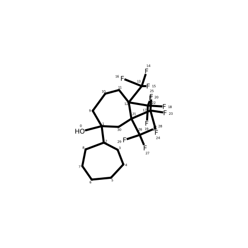 OC1(C2CCCCCC2)CCCC(C(F)(F)F)(C(F)(F)F)C(C(F)(F)F)(C(F)(F)F)C1